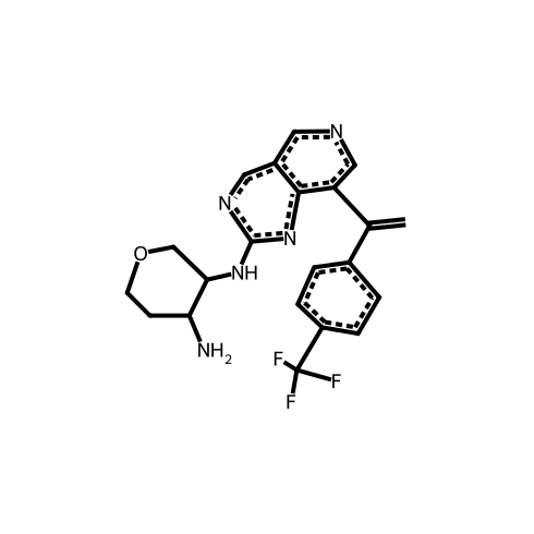 C=C(c1ccc(C(F)(F)F)cc1)c1cncc2cnc(NC3COCCC3N)nc12